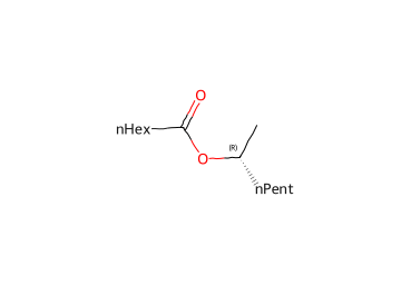 CCCCCCC(=O)O[C@H](C)CCCCC